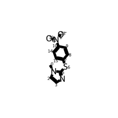 Cn1ccnc1Sc1ccc([N+](=O)[O-])cc1